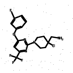 NCC1(Cl)CCN(c2nc(Oc3cccc(F)c3)cc(C(F)(F)F)n2)CC1